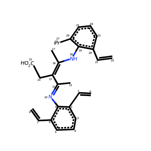 C=Cc1cccc(C=C)c1/N=C(C)/C(CC(=O)O)=C(/C)Nc1c(C=C)cccc1C(C)C